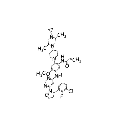 C=CC(=O)Nc1cc(Nc2cc(N3OCCC3c3cccc(Cl)c3F)ncn2)c(OC)cc1N1CCC(N2C[C@H](C)N(C3CC3)C[C@@H]2C)CC1